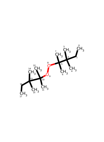 CCC(C)(C)C(C)(C)OOC(C)(C)C(C)(C)CC